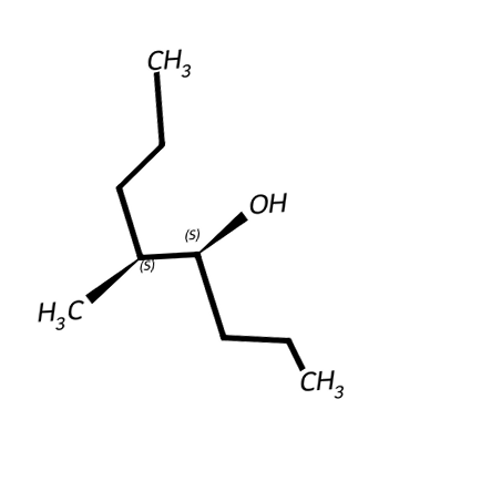 CCC[C@H](C)[C@@H](O)CCC